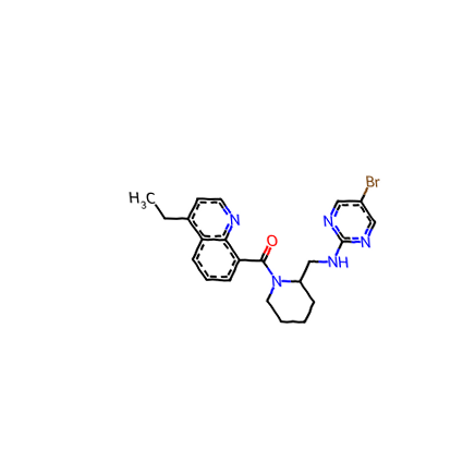 CCc1ccnc2c(C(=O)N3CCCCC3CNc3ncc(Br)cn3)cccc12